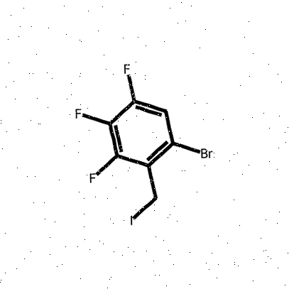 Fc1cc(Br)c(CI)c(F)c1F